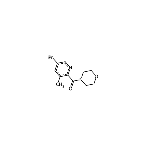 Cc1cc(C(C)C)cnc1C(=O)N1CCOCC1